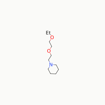 [CH2]COCCOCCN1CCCCC1